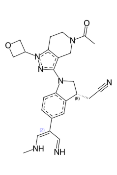 CN/C=C(\C=N)c1ccc2c(c1)[C@@H](CC#N)CN2c1nn(C2COC2)c2c1CN(C(C)=O)CC2